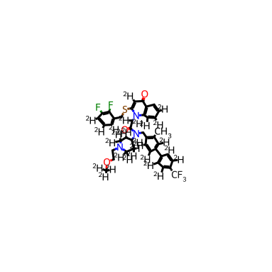 [2H]c1cc2c(=O)c([2H])c(SCc3c([2H])c([2H])c([2H])c(F)c3F)n(C([2H])([2H])C(=O)N(Cc3c([2H])c([2H])c(-c4c([2H])c([2H])c(C(F)(F)F)c([2H])c4[2H])c([2H])c3C)C3([2H])C([2H])([2H])C([2H])([2H])N(CCOC([2H])([2H])[2H])C([2H])([2H])C3([2H])[2H])c2c([2H])c1[2H]